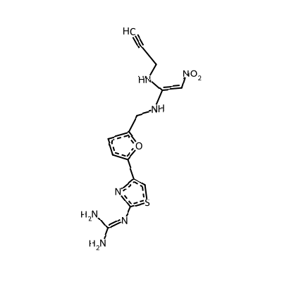 C#CCNC(=C[N+](=O)[O-])NCc1ccc(-c2csc(N=C(N)N)n2)o1